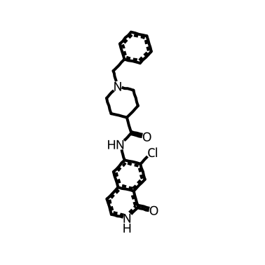 O=C(Nc1cc2cc[nH]c(=O)c2cc1Cl)C1CCN(Cc2ccccc2)CC1